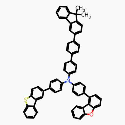 CC1(C)c2ccccc2-c2cc(-c3ccc(-c4ccc(N(c5ccc(-c6ccc7sc8ccccc8c7c6)cc5)c5ccc(-c6cccc7oc8ccccc8c67)cc5)cc4)cc3)ccc21